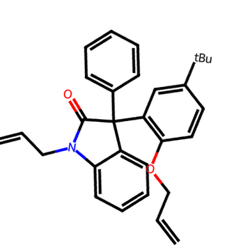 C=CCOc1ccc(C(C)(C)C)cc1C1(c2ccccc2)C(=O)N(CC=C)c2ccccc21